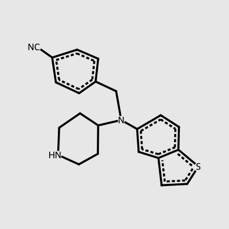 N#Cc1ccc(CN(c2ccc3sccc3c2)C2CCNCC2)cc1